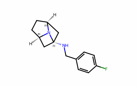 Fc1ccc(CN[C@@]23C[C@H]4CC[C@@H](C2)N43)cc1